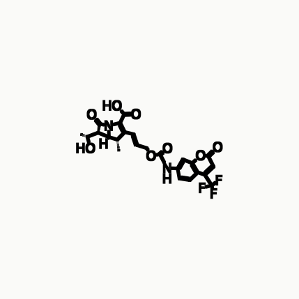 C[C@@H](O)[C@H]1C(=O)N2C(C(=O)O)=C(/C=C/COC(=O)Nc3ccc4c(C(F)(F)F)cc(=O)oc4c3)[C@H](C)[C@H]12